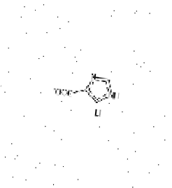 O=C([O-])c1c[nH]cn1.[Li+]